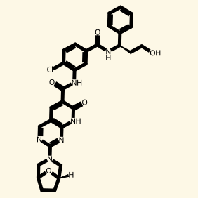 O=C(N[C@H](CCO)c1ccccc1)c1ccc(Cl)c(NC(=O)c2cc3cnc(N4CC5CC[C@@H](C4)O5)nc3[nH]c2=O)c1